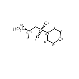 C[C@H](CS(=O)(=O)N1CCOCC1)C(=O)O